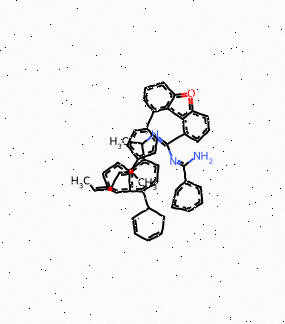 C/C=C\C=C(/C)c1ccc(-c2cccc3oc4cccc(C(/N=C(\N)c5ccccc5)=N/C(C)c5ccc(C6C=CC=CC6)c6ccccc56)c4c23)cc1